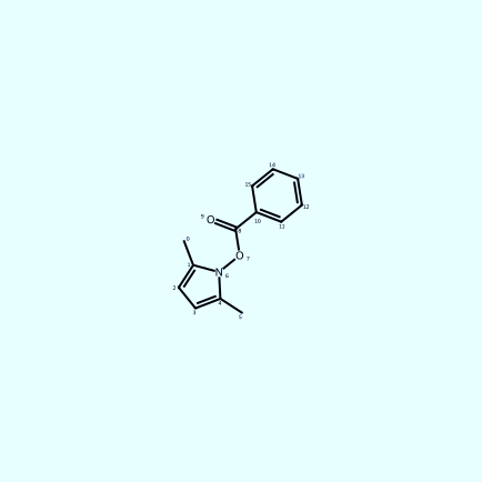 Cc1ccc(C)n1OC(=O)c1ccccc1